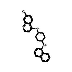 Clc1ccc2c(NC3CCC(Nc4cccc5ccccc45)CC3)ccnc2c1